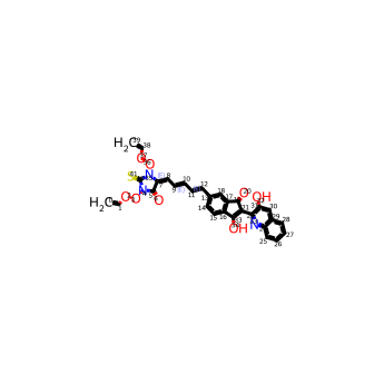 C=COON1C(=O)\C(=C/C=C/C=C/c2ccc3c(c2)C(=O)C(c2nc4ccccc4cc2O)=C3O)N(OOC=C)C1=S